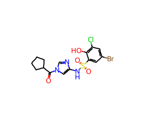 O=C(C1CCCC1)n1cnc(NS(=O)(=O)c2cc(Br)cc(Cl)c2O)c1